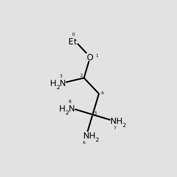 CCOC(N)CC(N)(N)N